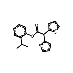 CC(C)c1ccccc1OC(=O)C(c1cccs1)c1cccs1